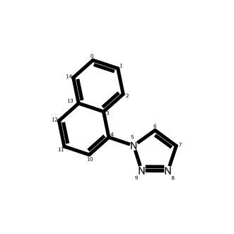 c1ccc2c(-n3ccnn3)cccc2c1